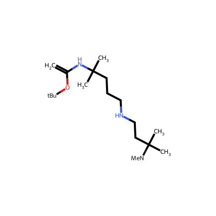 C=C(NC(C)(C)CCCNCCC(C)(C)NC)OC(C)(C)C